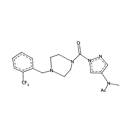 CC(=O)N(C)c1cnn(C(=O)N2CCN(Cc3ccccc3C(F)(F)F)CC2)c1